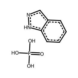 O=P(O)(O)O.c1ccc2[nH]ncc2c1